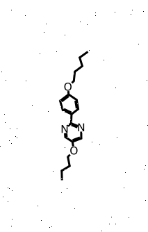 CCCCCOc1ccc(-c2ncc(OCCCC)cn2)cc1